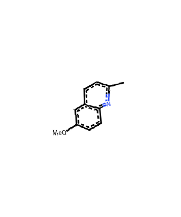 COc1[c]c2ccc(C)nc2cc1